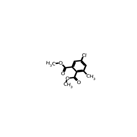 COC(=O)c1cc(Cl)cc(C)c1C(=O)OC